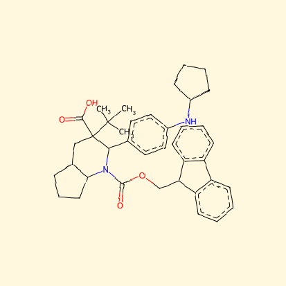 CC(C)(C)C1(C(=O)O)CC2CCCC2N(C(=O)OCC2c3ccccc3-c3ccccc32)C1c1ccc(NC2CCCC2)cc1